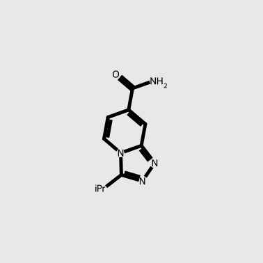 CC(C)c1nnc2cc(C(N)=O)ccn12